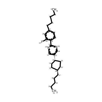 CCCCCc1ccc(-c2ncc([C@H]3CC[C@H](CCCCC)CC3)cn2)c(F)c1